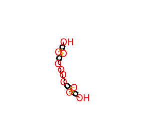 O=S(=O)(c1ccc(O)cc1)c1ccc(OCCOCOCCOc2ccc(S(=O)(=O)c3ccc(O)cc3)cc2)cc1